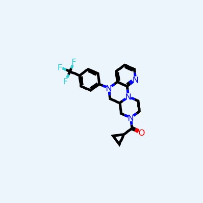 O=C(C1CC1)N1CCN2c3ncccc3N(c3ccc(C(F)(F)F)cc3)CC2C1